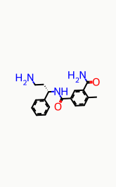 Cc1ccc(C(=O)N[C@@H](CCN)c2ccccc2)cc1C(N)=O